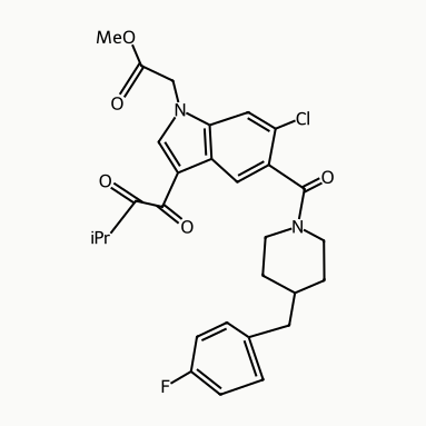 COC(=O)Cn1cc(C(=O)C(=O)C(C)C)c2cc(C(=O)N3CCC(Cc4ccc(F)cc4)CC3)c(Cl)cc21